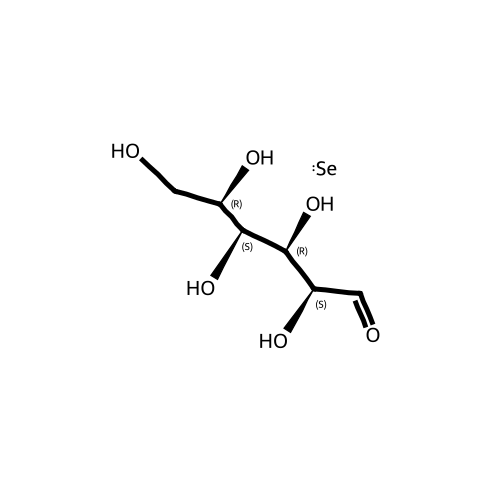 O=C[C@@H](O)[C@H](O)[C@@H](O)[C@H](O)CO.[Se]